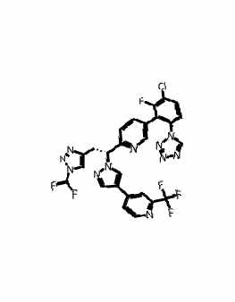 Fc1c(Cl)ccc(-n2cnnn2)c1-c1ccc([C@@H](Cc2cn(C(F)F)nn2)n2cc(-c3ccnc(C(F)(F)F)c3)cn2)nc1